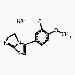 Br.COc1ccc(C2=CSC3=NCCN23)cc1F